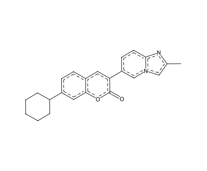 Cc1cn2cc(-c3cc4ccc(C5CCCCC5)cc4oc3=O)ccc2n1